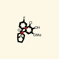 COc1cc(C(=O)N2C3CCC2CC(c2ccc(F)cc2)C3)cc(Cl)c1O